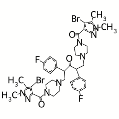 Cc1c(Br)c(C(=O)N2CCN(CC(C(=O)C(CN3CCN(C(=O)c4nn(C)c(C)c4Br)CC3)c3ccc(F)cc3)c3ccc(F)cc3)CC2)nn1C